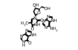 Cc1cn([C@H]2C[C@H](O)[C@@H](CO)O2)c(=O)[nH]c1=O.Nc1ncnc2nc[nH]c12.O=c1[nH]cnc2nc[nH]c12